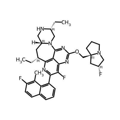 CC[C@@H]1CN2c3nc(OC[C@@]45CCCN4C[C@H](F)C5)nc4c(F)c(-c5cccc6ccc(F)c(C)c56)nc(c34)[C@H](CC)C[C@@H]2CN1